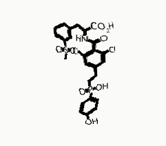 CS(=O)(=O)c1cccc(CC(NC(=O)c2c(Cl)cc(CCP(=O)(O)c3ccc(O)cc3)cc2Cl)C(=O)O)c1